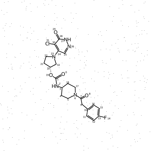 O=C(NC1CCN(C(=O)Cc2ccc(F)cc2)CC1)O[C@@H]1CCN(c2cn[nH]c(=O)c2Cl)C1